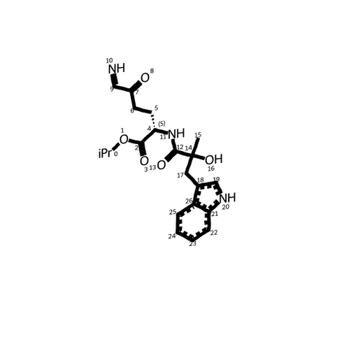 CC(C)OC(=O)[C@H](CCC(=O)C=N)NC(=O)C(C)(O)Cc1c[nH]c2ccccc12